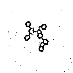 c1ccc(-c2cc(-c3ccccc3)nc(-n3c4ccc(-c5cccc6c5oc5ccccc56)cc4n4c5ccccc5nc34)n2)cc1